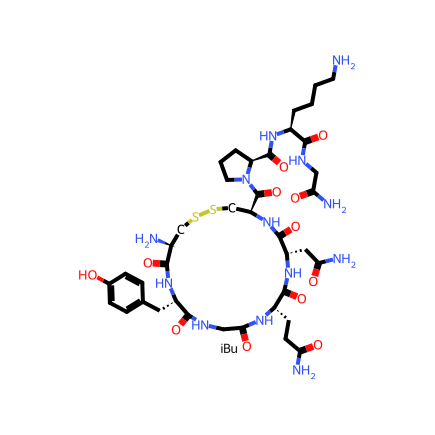 CC[C@H](C)C1NC(=O)[C@H](Cc2ccc(O)cc2)NC(=O)[C@@H](N)CSSC[C@@H](C(=O)N2CCC[C@H]2C(=O)N[C@@H](CCCCN)C(=O)NCC(N)=O)NC(=O)[C@H](CC(N)=O)NC(=O)[C@H](CCC(N)=O)NC1=O